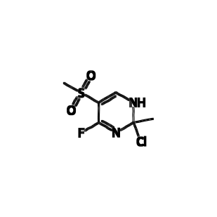 CC1(Cl)N=C(F)C(S(C)(=O)=O)=CN1